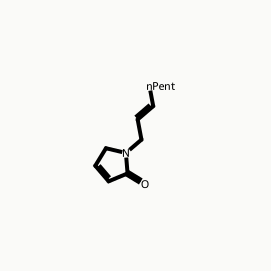 CCCCCC=CCN1CC=CC1=O